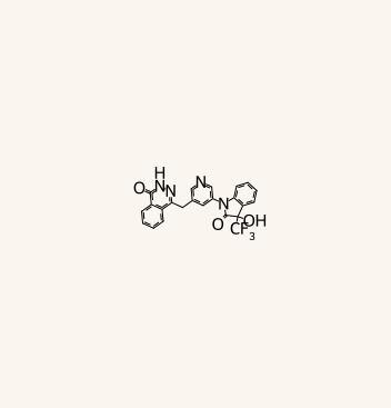 O=C1N(c2cncc(Cc3n[nH]c(=O)c4ccccc34)c2)c2ccccc2C1(O)C(F)(F)F